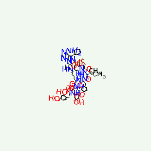 CCC(C)C(NC(=O)C(CS)NC(C)=O)C(=O)NC(Cc1ccc(O)cc1)C(=O)NC(CCCCNC(=O)Cn1nc(-c2ccccc2)c2c(N)ncnc21)C(=O)NC(Cc1ccc(O)cc1)C(=O)NC(Cc1ccc(O)cc1)C(=O)O